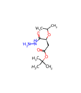 CC(C)O[C@@H](CC(=O)OC(C)(C)C)C(=O)NN